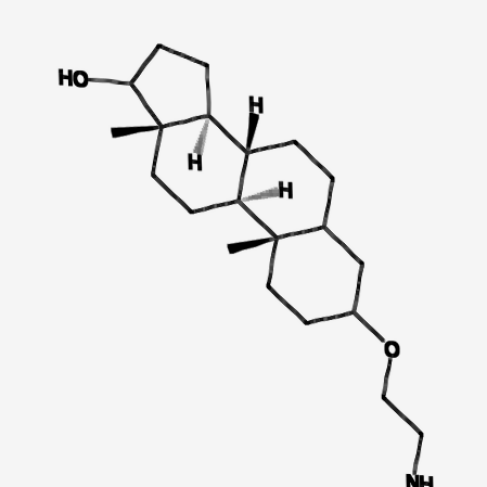 C[C@]12CCC(OCCN)CC1CC[C@@H]1[C@@H]2CC[C@]2(C)C(O)CC[C@@H]12